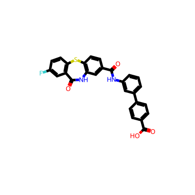 O=C(O)c1ccc(-c2cccc(NC(=O)c3ccc4c(c3)NC(=O)c3cc(F)ccc3S4)c2)cc1